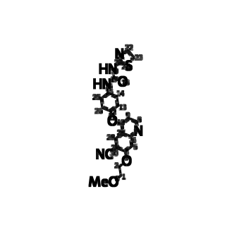 COCCOc1cc2nccc(Oc3ccc(NC(=O)Nc4nccs4)cc3)c2cc1C#N